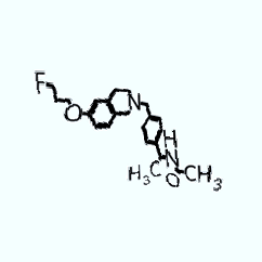 CC(=O)NC(C)c1ccc(CN2CCc3cc(OCCCF)ccc3C2)cc1